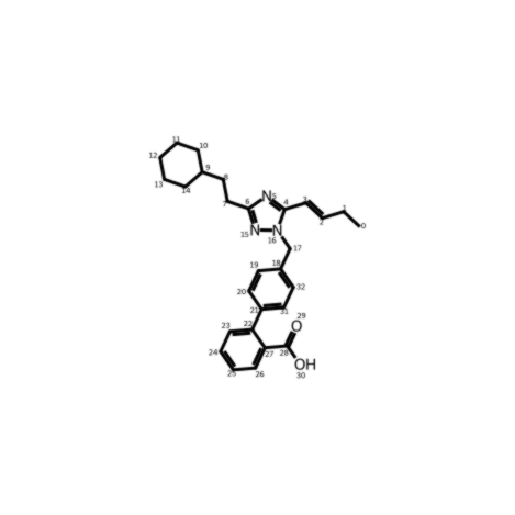 CC/C=C/c1nc(CCC2CCCCC2)nn1Cc1ccc(-c2ccccc2C(=O)O)cc1